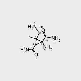 CC1(CN)C(C(N)=O)C1(N)C(N)=O